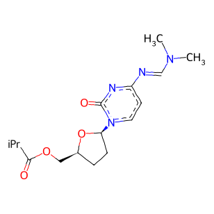 CC(C)C(=O)OC[C@@H]1CC[C@H](n2ccc(N=CN(C)C)nc2=O)O1